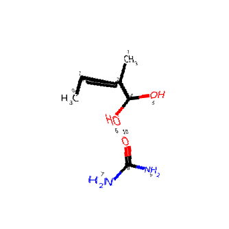 CC=C(C)C(O)O.NC(N)=O